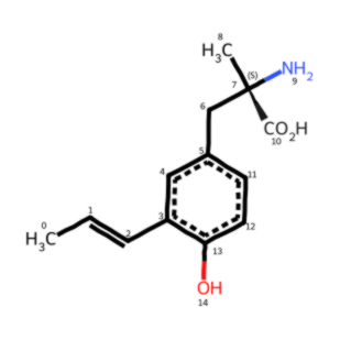 CC=Cc1cc(C[C@](C)(N)C(=O)O)ccc1O